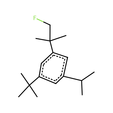 CC(C)c1cc(C(C)(C)C)cc(C(C)(C)CF)c1